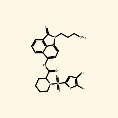 COCCCN1C(=O)c2cccc3c(NC(=O)C4CCCCN4S(=O)(=O)c4cc(Cl)c(Cl)s4)ccc1c23